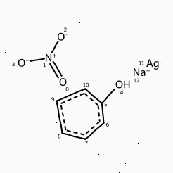 O=[N+]([O-])[O-].Oc1ccccc1.[Ag].[Na+]